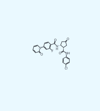 O=C1C[C@@H](NC(=O)c2ccc(-n3ccccc3=O)cc2F)[C@H](C(=O)Nc2ccc(Cl)cc2)C1